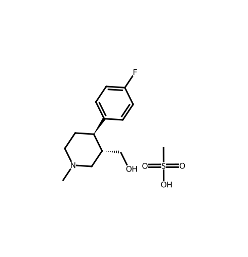 CN1CC[C@@H](c2ccc(F)cc2)[C@H](CO)C1.CS(=O)(=O)O